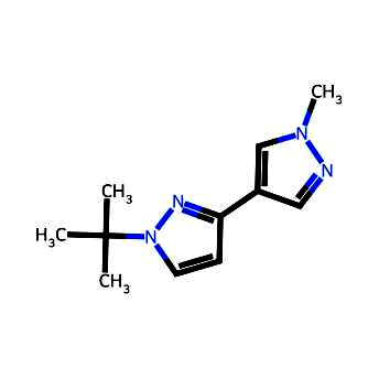 Cn1cc(-c2ccn(C(C)(C)C)n2)cn1